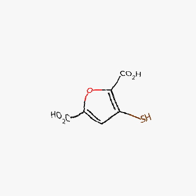 O=C(O)c1cc(S)c(C(=O)O)o1